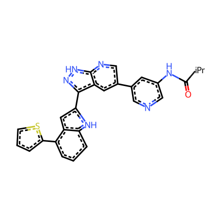 CC(C)C(=O)Nc1cncc(-c2cnc3[nH]nc(-c4cc5c(-c6cccs6)cccc5[nH]4)c3c2)c1